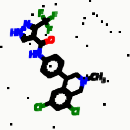 CN1Cc2c(Cl)cc(Cl)cc2C(c2ccc(NC(=O)c3c[nH]nc3C(F)(F)F)cc2)C1